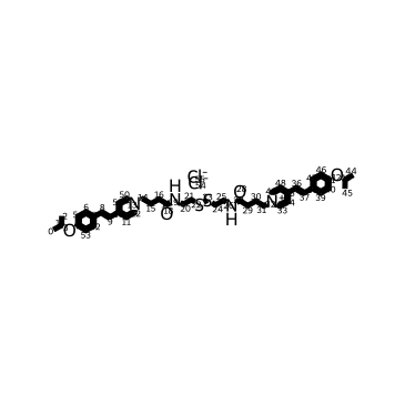 CC(C)Oc1ccc(C=Cc2cc[n+](CCCC(=O)NCCSSCCNC(=O)CCC[n+]3ccc(C=Cc4ccc(OC(C)C)cc4)cc3)cc2)cc1.[Cl-].[Cl-]